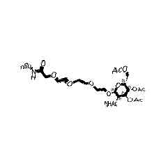 CCCCNC(=O)COCCOCCOCCO[C@@H]1O[C@H](COC(C)=O)[C@H](OC(C)=O)[C@H](OC(C)=O)[C@H]1NC(C)=O